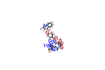 Cc1cc(COc2ccc(C(=O)NC3CN(S(C)(=O)=O)CCC3c3n[nH]c(=S)[nH]3)cc2)c2ccccc2n1